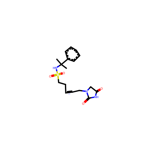 CC(C)(NS(=O)(=O)CC/C=C\CN1CC(=O)NC1=O)c1ccccc1